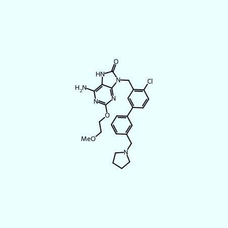 COCCOc1nc(N)c2[nH]c(=O)n(Cc3cc(-c4cccc(CN5CCCC5)c4)ccc3Cl)c2n1